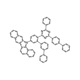 c1ccc(-c2ccc(-c3nc(-c4ccccc4)nc(-c4ccc(-n5c6cc7ccccc7cc6c6ccc7ccccc7c65)cc4-c4cccc(-c5ccccc5)c4)n3)cc2)cc1